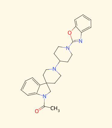 CC(=O)N1CC2(CCN(C3CCN(c4nc5ccccc5o4)CC3)CC2)c2ccccc21